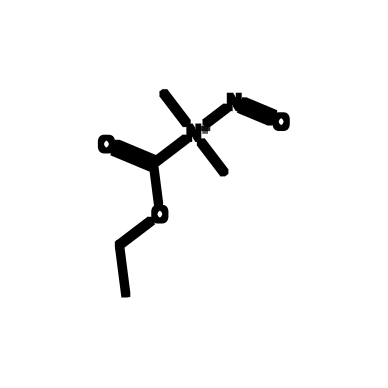 CCOC(=O)[N+](C)(C)N=O